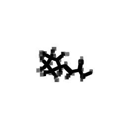 COC(=O)C(F)=CC1(F)C(F)C(F)(F)C(F)(F)C1(F)F